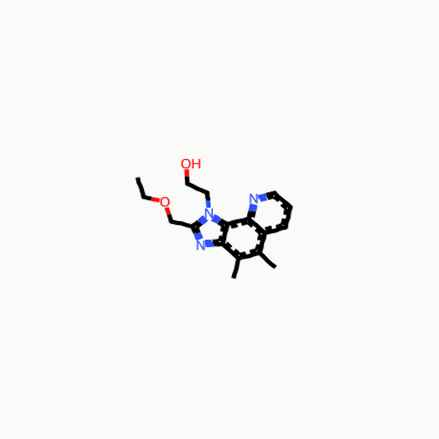 CCOCc1nc2c(C)c(C)c3cccnc3c2n1CCO